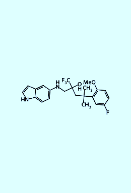 COc1ccc(F)cc1C(C)(C)CC(O)(CNc1ccc2[nH]ccc2c1)C(F)(F)F